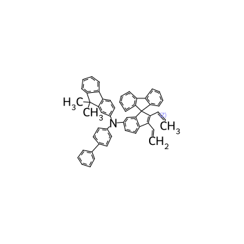 C=CC1=C(/C=C\C)C2(c3cc(N(c4ccc(-c5ccccc5)cc4)c4ccc5c(c4)C(C)(C)c4ccccc4-5)ccc31)c1ccccc1-c1ccccc12